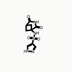 O=C1NC(=O)C2(NS(=O)(=O)c3cn[nH]c3)CC1C2